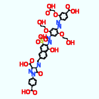 O=C(O)COc1cc(C(=O)O)ccc1/N=N/c1cc(OCCO)c(/N=N/c2c(S(=O)(=O)O)cc3cc(/C=N/C4C(=O)N(c5ccc(C(=O)O)cc5)N=C4C(=O)O)ccc3c2O)cc1OCCO